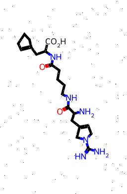 N=C(N)N1CC=C(CC(N)C(=O)NCCCCC(=O)NC(CC2=CCCC2)C(=O)O)C1